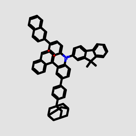 CC1(C)c2ccccc2-c2ccc(N(c3ccc(-c4ccc5ccccc5c4)cc3)c3ccc(-c4ccc(C56CC7CC(CC(C7)C5)C6)cc4)cc3-c3cccc4ccccc34)cc21